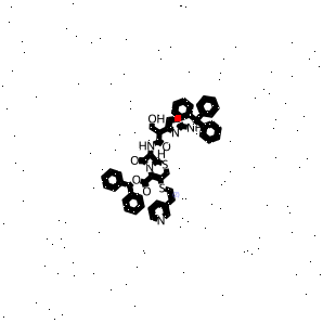 O=C(OC(c1ccccc1)c1ccccc1)C1=C(S/C=C\c2cccnc2)CS[C@H]2C(NC(=O)C(CO)c3csc(NC(c4ccccc4)(c4ccccc4)c4ccccc4)n3)C(=O)N12